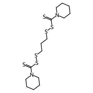 S=C(SSCCCSSC(=S)N1CCCCC1)N1CCCCC1